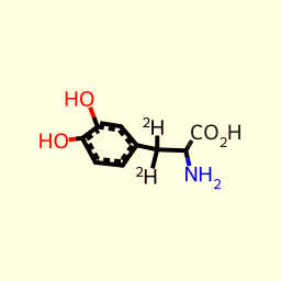 [2H]C([2H])(c1ccc(O)c(O)c1)C(N)C(=O)O